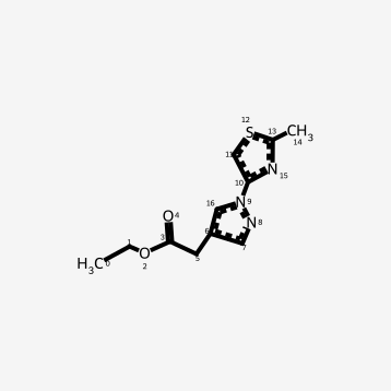 CCOC(=O)Cc1cnn(-c2csc(C)n2)c1